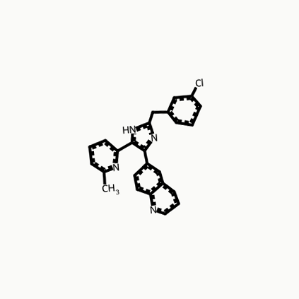 Cc1cccc(-c2[nH]c(Cc3cccc(Cl)c3)nc2-c2ccc3ncccc3c2)n1